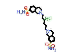 Cl.Cl.NS(=O)(=O)c1ccc2c(c1)CN(CCCCCCN1CCc3ccc(S(N)(=O)=O)cc3C1)CC2